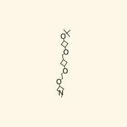 CN1CC(OCCOC2CC(COC3CC(OC(C)(C)C)C3)C2)C1